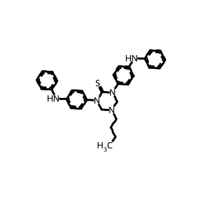 CCCCN1CN(c2ccc(Nc3ccccc3)cc2)C(=S)N(c2ccc(Nc3ccccc3)cc2)C1